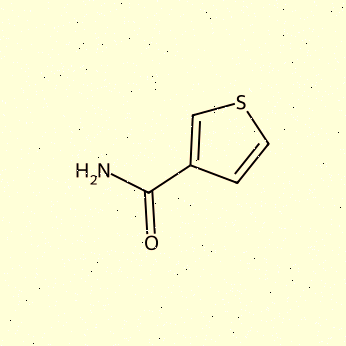 NC(=O)c1ccsc1